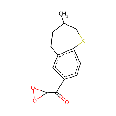 CC1CCc2cc(C(=O)C3OO3)ccc2SC1